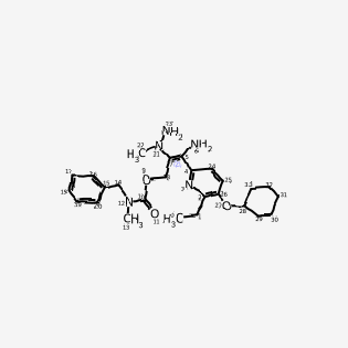 CCc1nc(/C(N)=C(\COC(=O)N(C)Cc2ccccc2)N(C)N)ccc1OC1CCCCC1